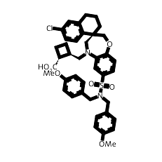 COc1ccc(CN(Cc2ccc(OC)cc2)S(=O)(=O)c2ccc3c(c2)N(C[C@@H]2CC[C@H]2C(=O)O)C[C@@]2(CCCc4cc(Cl)ccc42)CO3)cc1